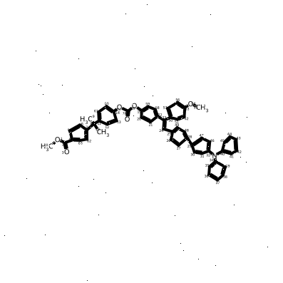 COC(=O)c1ccc(C(C)(C)c2ccc(OC(=O)Oc3ccc(C(=Cc4ccc(-c5ccc(N(c6ccccc6)c6ccccc6)cc5)cc4)c4ccc(OC)cc4)cc3)cc2)cc1